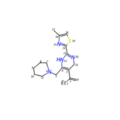 C=C(CC)C1=C(CN2CCCCC2)NC(c2nc(C)cs2)=NC1